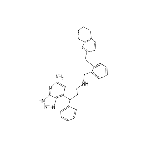 Nc1cc(C(CCNCc2ccccc2Cc2ccc3c(c2)CCCC3)c2ccccc2)c2nn[nH]c2n1